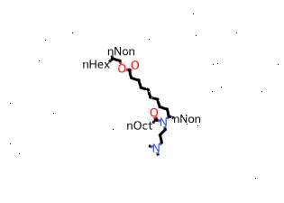 CCCCCCCCCC(CCCCCC)COC(=O)CCCCCCCCC(CCCCCCCCC)N(CCCN(C)C)C(=O)CCCCCCCC